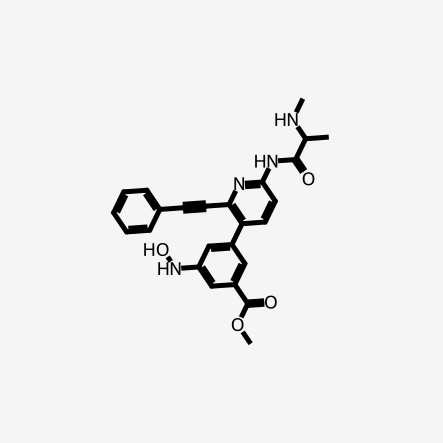 CNC(C)C(=O)Nc1ccc(-c2cc(NO)cc(C(=O)OC)c2)c(C#Cc2ccccc2)n1